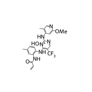 C=CC(=O)Nc1cc(C)ccc1Nc1c(C(F)(F)F)cnc(Nc2cc(OC)ncc2C)[n+]1O